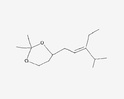 CC/C(=C\CC1CCOC(C)(C)O1)C(C)C